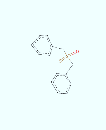 O=S(=S)(Cc1ccccc1)Cc1ccccc1